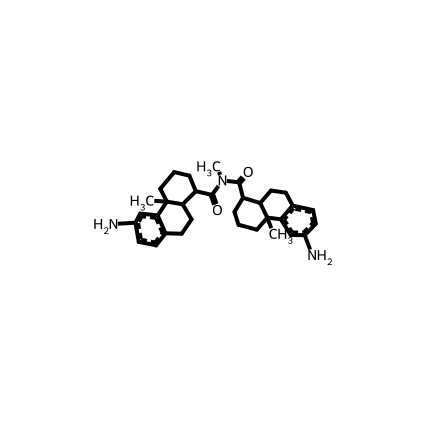 CN(C(=O)C1CCCC2(C)c3cc(N)ccc3CCC12)C(=O)C1CCCC2(C)c3cc(N)ccc3CCC12